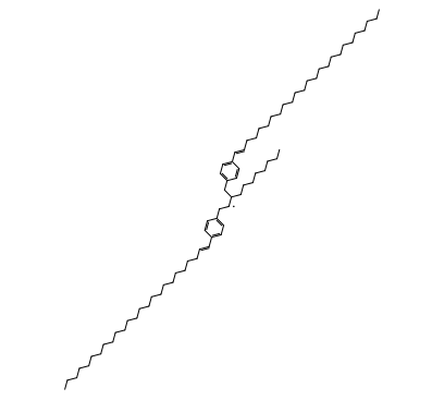 CCCCCCCCCCCCCCCCCCCCCCCC=Cc1ccc(C[CH]C(CCCCCCCC)Cc2ccc(C=CCCCCCCCCCCCCCCCCCCCCCCC)cc2)cc1